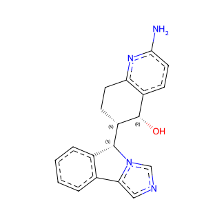 Nc1ccc2c(n1)CC[C@@H]([C@H]1c3ccccc3-c3cncn31)[C@H]2O